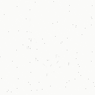 CCOc1cc(CN2CCC(Nc3nc(-c4ccc(F)cc4)co3)CC2)cc(OCC)c1-c1ccc(F)cc1